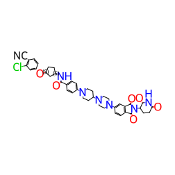 N#Cc1ccc(O[C@H]2CC[C@H](NC(=O)c3ccc(N4CCC(N5CCN(c6ccc7c(c6)C(=O)N(C6CCC(=O)NC6=O)C7=O)CC5)CC4)cc3)C2)cc1Cl